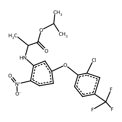 CC(C)OC(=O)C(C)Nc1cc(Oc2ccc(C(F)(F)F)cc2Cl)ccc1[N+](=O)[O-]